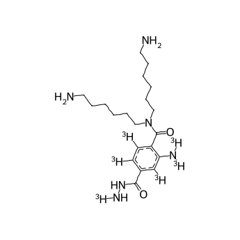 [3H]NNC(=O)c1c([3H])c([3H])c(C(=O)N(CCCCCCN)CCCCCCN)c(N([3H])[3H])c1[3H]